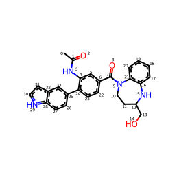 CC(=O)Nc1cc(C(=O)N2CCC(CO)Nc3ccccc32)ccc1-c1ccc2[nH]ccc2c1